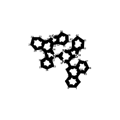 c1ccc2c(c1)cc(-c1nc(-n3c4ccccc4c4c5ccccc5c5sc6ccccc6c5c43)nc3c1sc1ccccc13)c1ccccc12